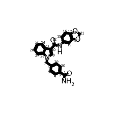 NC(=O)c1ccc(Cn2cc(C(=O)Nc3ccc4c(c3)OCO4)c3ccccc32)cc1